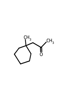 CC(=O)CC1(C)CCCCC1